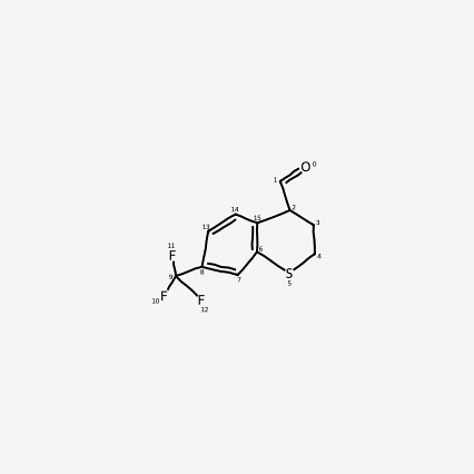 O=CC1CCSc2cc(C(F)(F)F)ccc21